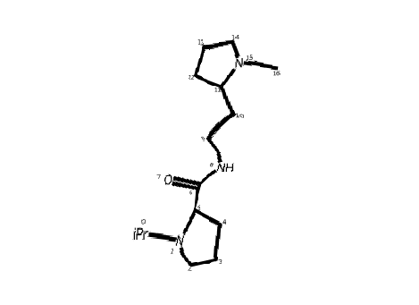 CC(C)N1CCC[C@@H]1C(=O)NCCC1CCCN1C